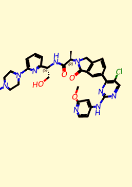 COc1cc(Nc2ncc(Cl)c(-c3ccc4c(c3)C(=O)N([C@H](C)C(=O)N[C@H](CO)c3cccc(N5CCN(C)CC5)n3)C4)n2)ccn1